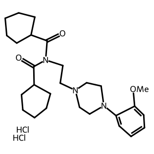 COc1ccccc1N1CCN(CCN(C(=O)C2CCCCC2)C(=O)C2CCCCC2)CC1.Cl.Cl